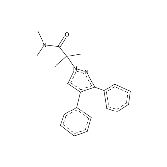 CN(C)C(=O)C(C)(C)n1cc(-c2ccccc2)c(-c2ccccc2)n1